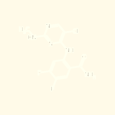 CNc1ncc(Cl)c(Nc2cc(F)c(F)cc2C(N)=O)n1